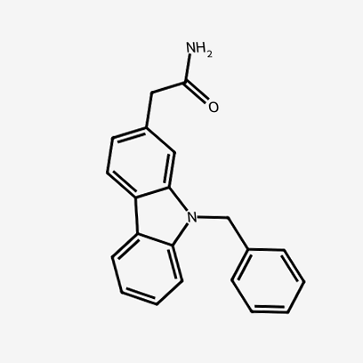 NC(=O)Cc1ccc2c3ccccc3n(Cc3ccccc3)c2c1